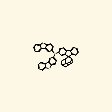 c1ccc2c(c1)-c1ccc(N(c3ccc4oc5ccccc5c4c3)c3ccc4oc5ccccc5c4c3)cc1C21C2CC3CC(C2)CC1C3